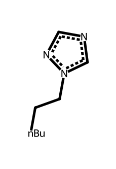 [CH2]CCCCCn1cncn1